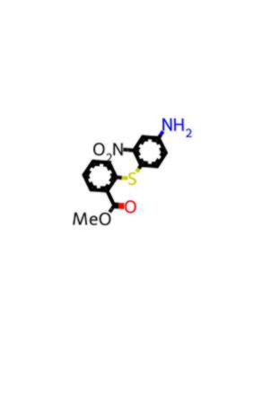 COC(=O)c1ccccc1Sc1ccc(N)cc1[N+](=O)[O-]